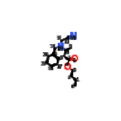 CCCCOC(=O)CC(C)N(CC#N)Cc1ccccc1